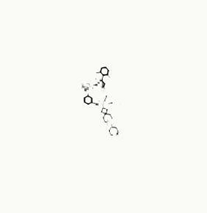 Cc1cccc(C)c1-c1cc2nc(n1)NS(=O)(=O)c1cccc(c1)C(=O)N(C1CC3(CCN(C4CCOCC4)CC3)C1)[C@H](CC(C)C)CO2